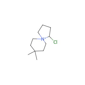 CC1(C)CC[N+]2(CCCC2Cl)CC1